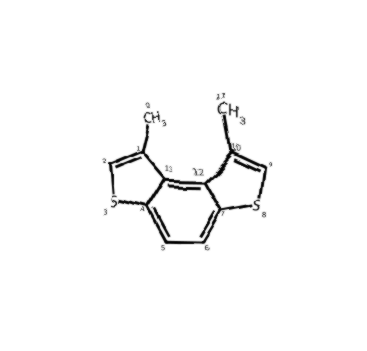 Cc1csc2ccc3scc(C)c3c12